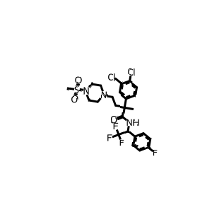 CC(CCN1CCN(S(C)(=O)=O)CC1)(C(=O)NC(c1ccc(F)cc1)C(F)(F)F)c1ccc(Cl)c(Cl)c1